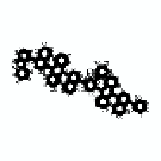 c1ccc(-c2ccc(-c3c4ccccc4c(-c4ccc(-c5ccc(-c6c7ccccc7c(-c7ccc(-c8cccc9oc%10ccccc%10c89)c8ccccc78)c7ccccc67)c6ccccc56)c5oc6ccccc6c45)c4ccccc34)c3ccccc23)cc1